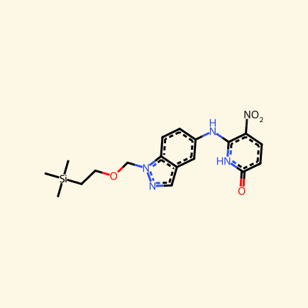 C[Si](C)(C)CCOCn1ncc2cc(Nc3[nH]c(=O)ccc3[N+](=O)[O-])ccc21